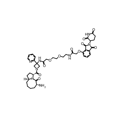 N[C@H]1CCCC[C@@H]2CC[C@@H](C(=O)N3CC(NC(=O)COCCOCCNC(=O)COc4cccc5c4C(=O)N(C4CCC(=O)NC4=O)C5=O)(c4ccccn4)C3)N2C1=O